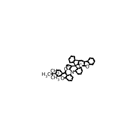 CC(C)(C)c1ccc2c(=O)c3c(N4c5ccccc5C5(c6ccccc6-c6cc7c(cc65)oc5ccccc57)c5ccccc54)cccc3oc2c1